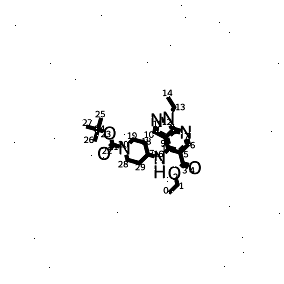 CCOC(=O)c1cnc2c(cnn2CC)c1NC1CCN(C(=O)OC(C)(C)C)CC1